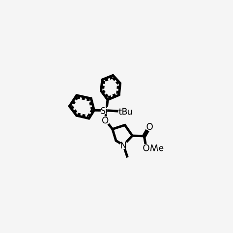 COC(=O)C1CC(O[Si](c2ccccc2)(c2ccccc2)C(C)(C)C)CN1C